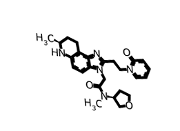 C[C@H]1CCc2c(ccc3c2nc(CCn2ccccc2=O)n3CC(=O)N(C)[C@H]2CCOC2)N1